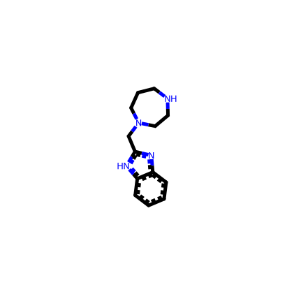 c1ccc2[nH]c(CN3CCCNCC3)nc2c1